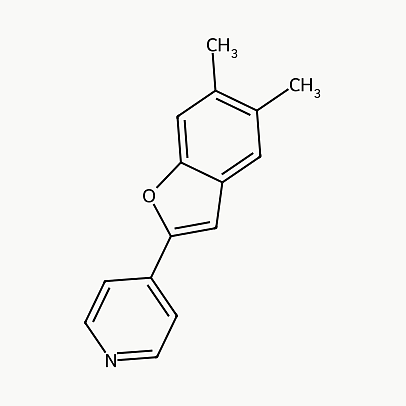 Cc1cc2cc(-c3ccncc3)oc2cc1C